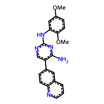 COc1ccc(OC)c(Nc2ncc(-c3ccc4ncccc4c3)c(N)n2)c1